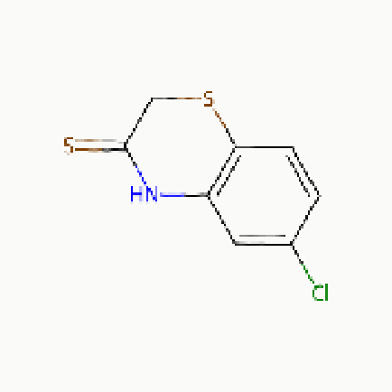 S=C1CSc2ccc(Cl)cc2N1